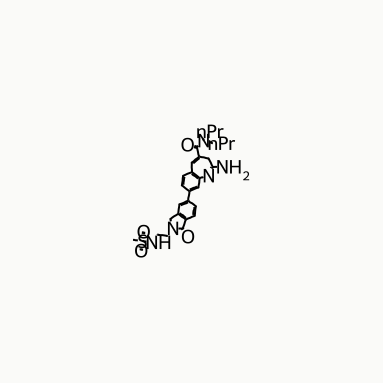 CCCN(CCC)C(=O)C1=Cc2ccc(-c3ccc4c(c3)CN(CCNS(C)(=O)=O)C4=O)cc2N=C(N)C1